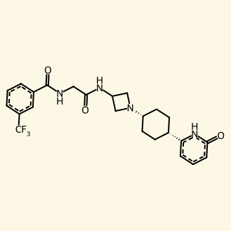 O=C(CNC(=O)c1cccc(C(F)(F)F)c1)NC1CN([C@H]2CC[C@@H](c3cccc(=O)[nH]3)CC2)C1